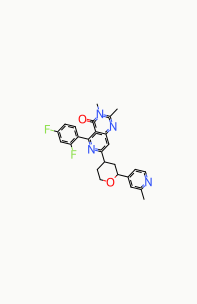 Cc1cc(C2CC(c3cc4nc(C)n(C)c(=O)c4c(-c4ccc(F)cc4F)n3)CCO2)ccn1